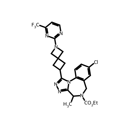 CCOC(=O)N1Cc2cc(Cl)ccc2-n2c(C3CC4(C3)CN(c3nccc(C(F)(F)F)n3)C4)nnc2C1C